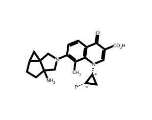 Cc1c(N2CC3(N)CCC4CC43C2)ccc2c(=O)c(C(=O)O)cn([C@@H]3C[C@@H]3F)c12